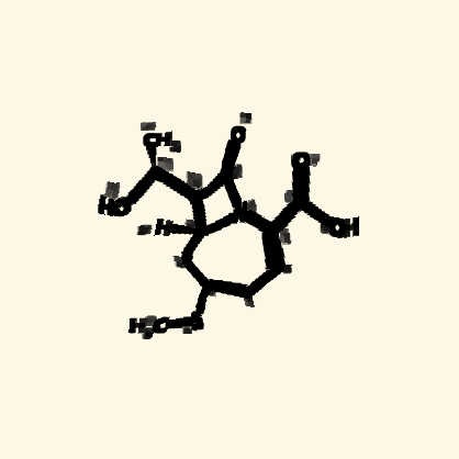 CSC1=CC=C(C(=O)O)N2C(=O)[C@H]([C@@H](C)O)[C@H]2C1